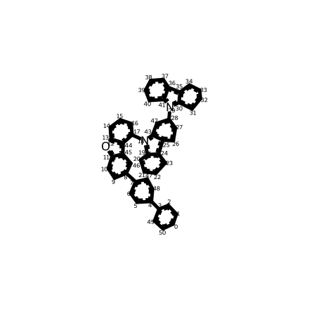 c1ccc(-c2ccc(-c3ccc4oc5cccc(-n6c7ccccc7c7ccc(-n8c9ccccc9c9ccccc98)cc76)c5c4c3)cc2)cc1